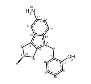 C[C@H]1Cc2c(n(Cc3ccccc3O)c3ccc(N)cc23)C1